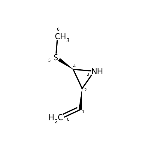 C=C[C@@H]1N[C@@H]1SC